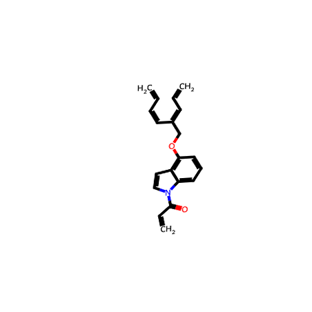 C=C/C=C\C(=C/C=C)COc1cccc2c1ccn2C(=O)C=C